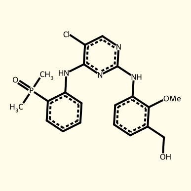 COc1c(CO)cccc1Nc1ncc(Cl)c(Nc2ccccc2P(C)(C)=O)n1